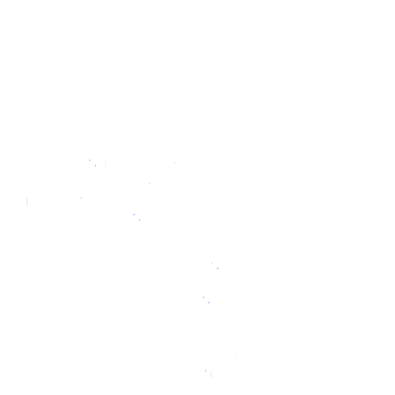 C=C(CN(C(=O)Cn1nc(C(N)=O)c2cc(O)ccc21)C1CC1)NCc1cccc(C)c1